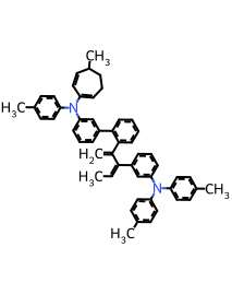 C=C(/C(=C\C)c1cccc(N(c2ccc(C)cc2)c2ccc(C)cc2)c1)c1ccccc1-c1cccc(N(C2=CCCC(C)C=C2)c2ccc(C)cc2)c1